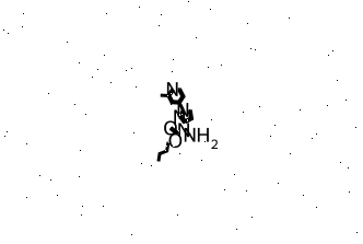 CCCCOC(=O)N(N)c1ccn(-c2ccnc(C)c2)n1